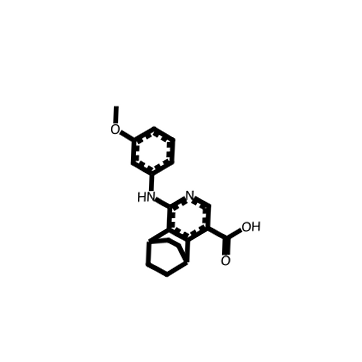 COc1cccc(Nc2ncc(C(=O)O)c3c2C2CCC3CC2)c1